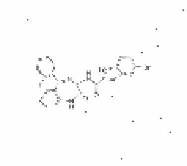 O=C(NC1N=C(c2ccccc2F)c2ccccc2NC1=O)c1cc2cc(Br)ccc2[nH]1